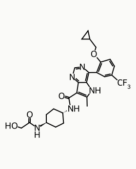 Cc1[nH]c2c(-c3cc(C(F)(F)F)ccc3OCC3CC3)ncnc2c1C(=O)N[C@H]1CC[C@H](NC(=O)CO)CC1